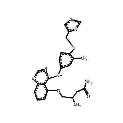 Cc1cc(Nc2ncnc3cccc(OC[C@H](C)CC(N)=O)c23)ccc1OCc1cscn1